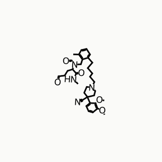 CNC(=O)C(CCC=O)N(C=O)Cc1c(C)cccc1CCCCCN1CCC(C#N)(c2cccc(OC)c2OC)CC1